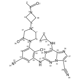 CC(=O)N1CC(N2CCN(c3cc(C#N)cc(Nc4nc(NC5CC5)c5ncc(C#N)n5n4)c3Cl)C(=O)C2)C1